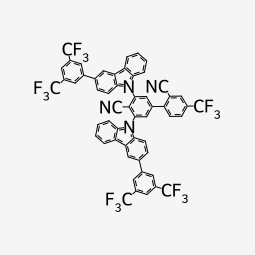 N#Cc1cc(C(F)(F)F)ccc1-c1cc(-n2c3ccccc3c3cc(-c4cc(C(F)(F)F)cc(C(F)(F)F)c4)ccc32)c(C#N)c(-n2c3ccccc3c3cc(-c4cc(C(F)(F)F)cc(C(F)(F)F)c4)ccc32)c1